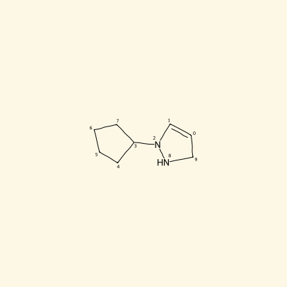 C1=CN(C2CCCC2)NC1